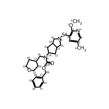 COc1ncc(C)cc1SN1CC2CC(N(CC3CCOCC3)C(=O)OCc3ccccc3)CC2C1